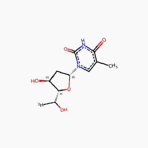 [2H]C(O)[C@H]1O[C@@H](n2cc(C)c(=O)[nH]c2=O)C[C@@H]1O